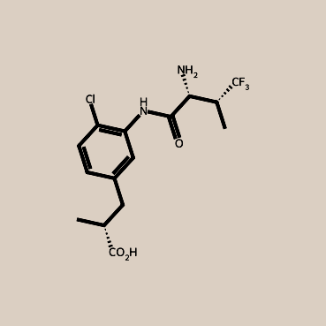 C[C@H](Cc1ccc(Cl)c(NC(=O)[C@H](N)[C@@H](C)C(F)(F)F)c1)C(=O)O